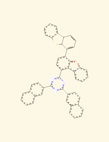 C1=CC2c3ccccc3SC2C(c2ccc(-c3nc(-c4ccc5ccccc5c4)nc(-c4ccc5ccccc5c4)n3)c3c2oc2ccccc23)=C1